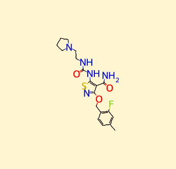 Cc1ccc(COc2nsc(NC(=O)NCCN3CCCC3)c2C(N)=O)c(F)c1